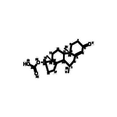 C[C@H]1CC2=CC(=O)CC[C@]2(C)C2CC[C@@]3(C)C(CC[C@@H]3OC(=O)O)C21